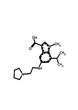 CC(C)c1cc(NCCN2CCCC2)cc2c(C(=O)O)cn(C)c12